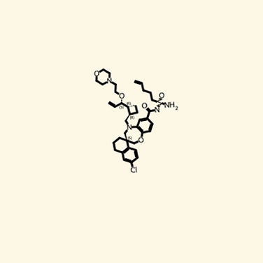 C=CCCCS(N)(=O)=NC(=O)c1ccc2c(c1)N(C[C@@H]1CC[C@H]1[C@H](C=C)OCCN1CCOCC1)C[C@@]1(CCCc3cc(Cl)ccc31)CO2